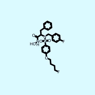 O=C(NO)C(Cc1ccccc1)N(Cc1ccc(F)cc1)S(=O)(=O)c1ccc(OCCCCF)cc1